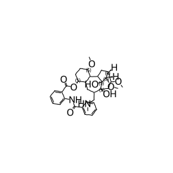 CNCC1CC2C(C3C[C@@H]4C(OC)C[C@@]1(O)[C@@]3(O)[C@H]4OC)[C@@H](OC)CC[C@@H]2OC(=O)c1ccccc1NC(=O)c1ccccc1